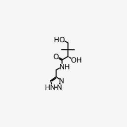 CC(C)(CO)[C@@H](O)C(=O)NCc1c[nH]nn1